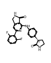 O=C1NCc2cc(-c3c(F)cccc3F)nc(Nc3ccc([C@H]4CCNC4=O)cc3)c21